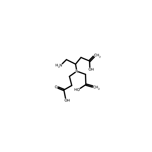 C=C(O)CC(CN)N(CCC(=O)O)CC(=C)O